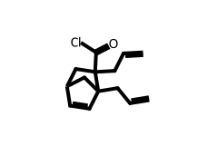 C=CCC12C=CC(C1)CC2(CC=C)C(=O)Cl